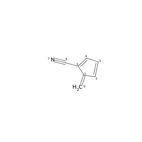 C=C1C=CC=C1C#N